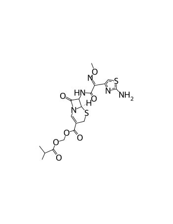 CON=C(C(=O)NC1C(=O)N2C=C(C(=O)OCOC(=O)C(C)C)CS[C@H]12)c1csc(N)n1